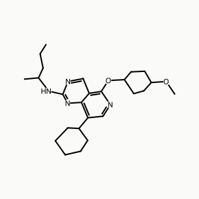 CCCC(C)Nc1ncc2c(OC3CCC(OC)CC3)ncc(C3CCCCC3)c2n1